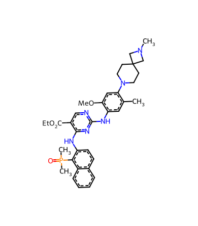 CCOC(=O)c1cnc(Nc2cc(C)c(N3CCC4(CC3)CN(C)C4)cc2OC)nc1Nc1ccc2ccccc2c1P(C)(C)=O